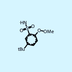 COOc1ccc(C(C)(C)C)cc1S([NH])(=O)=O